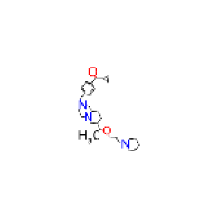 CC(OCCCN1CCCCC1)C1CCC2CN(Cc3ccc(C(=O)C4CC4)cc3)CCN2C1